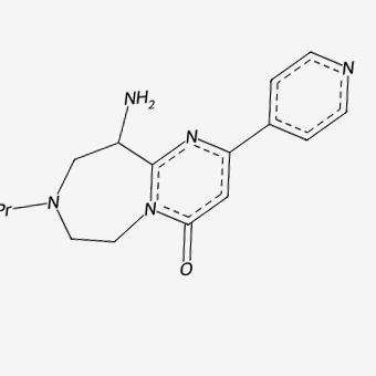 CC(C)N1CCn2c(nc(-c3ccncc3)cc2=O)C(N)C1